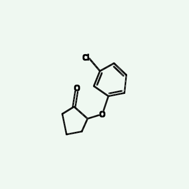 O=C1CCCC1Oc1cccc(Cl)c1